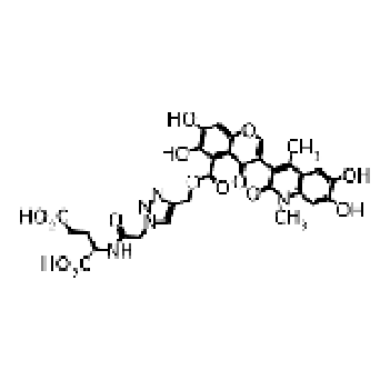 Cc1c(-c2coc3cc(O)c(O)c(C(=O)OCc4cn(CC(=O)N[C@@H](CCC(=O)O)C(=O)O)nn4)c3c2=O)c(=O)n(C)c2cc(O)c(O)cc12